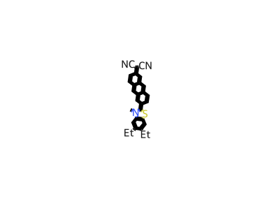 CCc1cc2c(cc1CC)N(C)/C(=c1/ccc3cc4cc(=C(C#N)C#N)ccc4cc3c1)S2